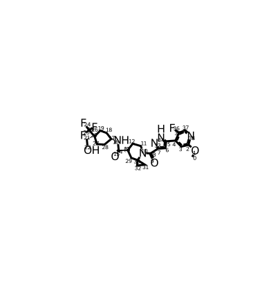 COc1cc(-c2cc(C(=O)N3CC[C@H](C(=O)N[C@H]4CC[C@](CO)(C(F)(F)F)CC4)CC34CC4)n[nH]2)c(F)cn1